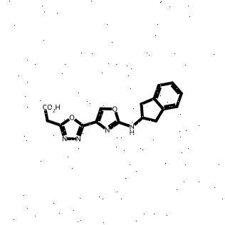 O=C(O)Cc1nnc(-c2coc(NC3Cc4ccccc4C3)n2)o1